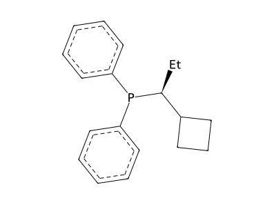 CC[C@@H](C1CCC1)P(c1ccccc1)c1ccccc1